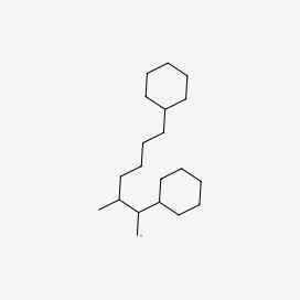 [CH2]C(C(C)CCCCC1CCCCC1)C1CCCCC1